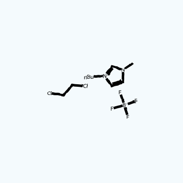 CCCC[n+]1ccn(C)c1.ClCCCl.F[B-](F)(F)F